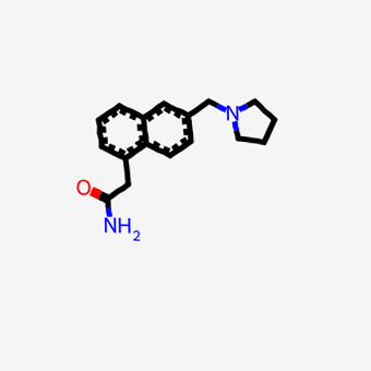 NC(=O)Cc1cccc2cc(CN3CCCC3)ccc12